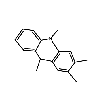 Cc1cc2c(cc1C)N(C)c1ccccc1C2C